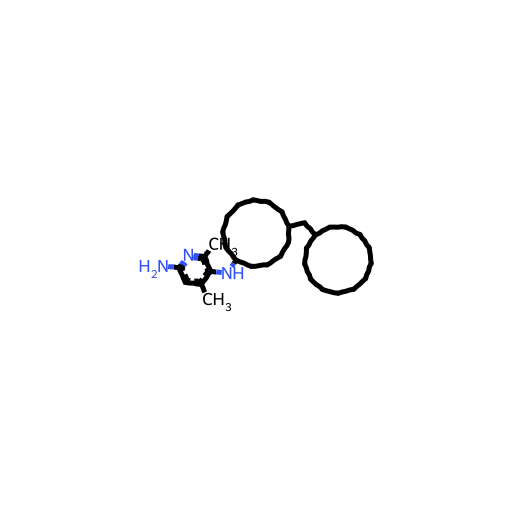 Cc1cc(N)nc(C)c1NC1CCCCCCCC(CC2CCCCCCCCCCCC2)CCCC1